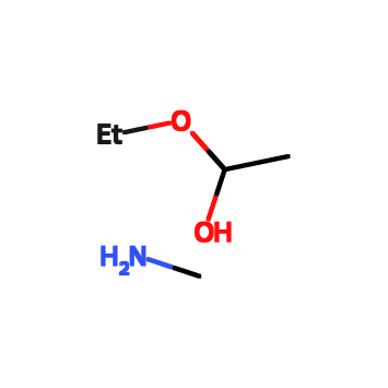 CCOC(C)O.CN